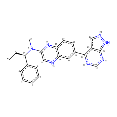 CC[C@H](c1ccccc1)N(C)c1cnc2cc(-c3ncnc4[nH]ncc34)ccc2n1